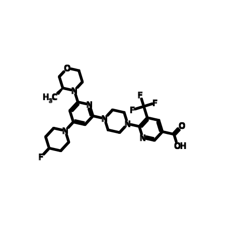 C[C@H]1COCCN1c1cc(N2CCC(F)CC2)cc(N2CCN(c3ncc(C(=O)O)cc3C(F)(F)F)CC2)n1